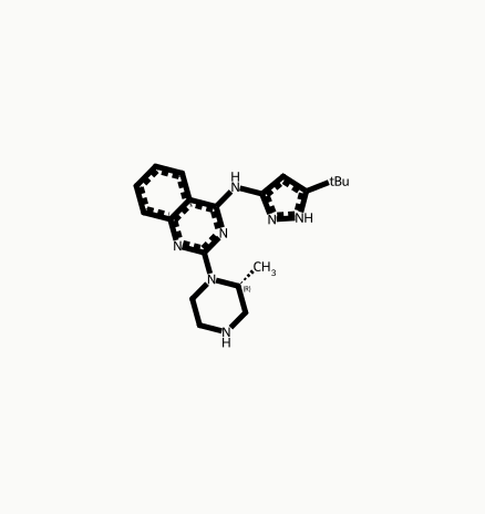 C[C@@H]1CNCCN1c1nc(Nc2cc(C(C)(C)C)[nH]n2)c2ccccc2n1